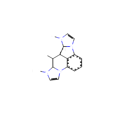 CC1C2N(C)C=CN2c2cccc3c2C1(C)C1N(C)C=CN31